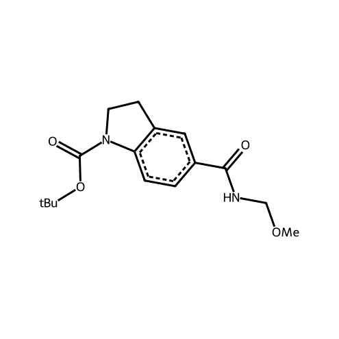 COCNC(=O)c1ccc2c(c1)CCN2C(=O)OC(C)(C)C